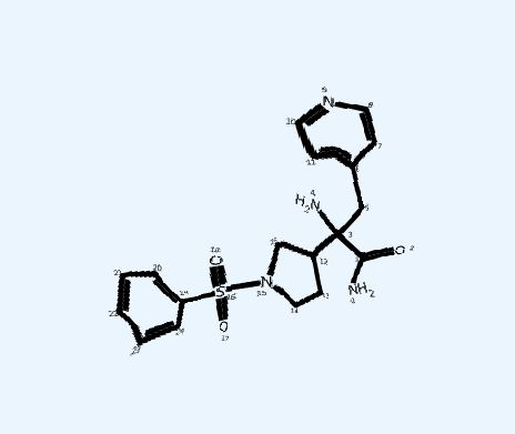 NC(=O)C(N)(Cc1ccncc1)C1CCN(S(=O)(=O)c2ccccc2)C1